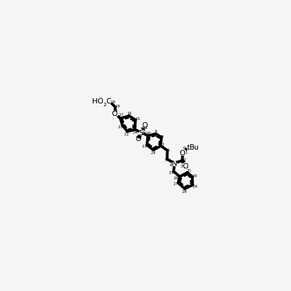 CC(C)(C)OC(=O)N(CCc1ccc(S(=O)(=O)c2ccc(OCC(=O)O)cc2)cc1)Cc1ccccc1